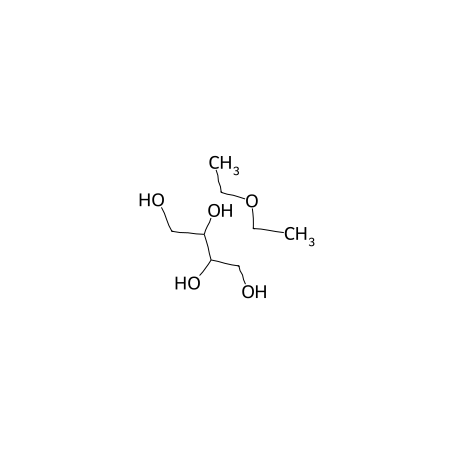 CCOCC.OCC(O)C(O)CO